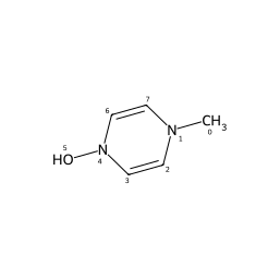 CN1C=CN(O)C=C1